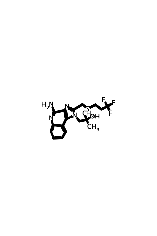 CC(C)(O)Cn1c(CSCCC(F)(F)F)nc2c(N)nc3ccccc3c21